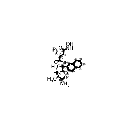 CC(C)C[C@H](CC(=O)NO)C(=O)N[C@](C)(C(=O)N[C@@H](C)C(N)=O)c1ccc2ccccc2c1